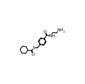 NCCNC(=O)c1ccc(CSC(=O)C2CCCCC2)cc1